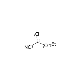 CCOC(Cl)C#N